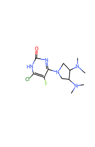 CN(C)C1CN(c2nc(=O)[nH]c(Cl)c2F)CC1N(C)C